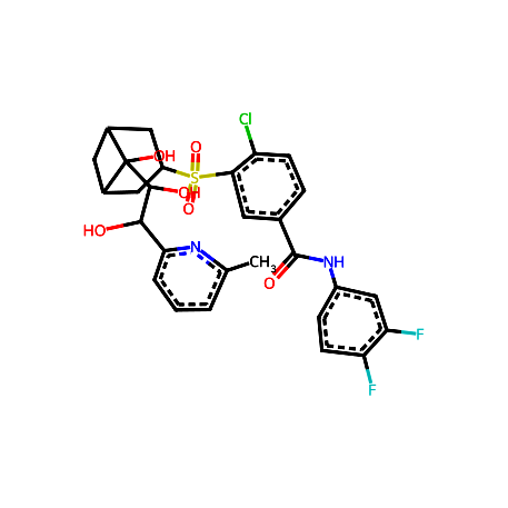 Cc1cccc(C(O)C(O)C2(O)C3CC2CC(S(=O)(=O)c2cc(C(=O)Nc4ccc(F)c(F)c4)ccc2Cl)C3)n1